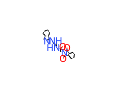 O=C(CN1C(=O)c2ccccc2C1=O)NCCNC1=NCc2ccccc21